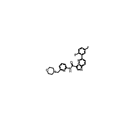 O=C(Nc1cccc(CN2CCOCC2)n1)c1cnc2ccc(-c3cc(F)ccc3F)nn12